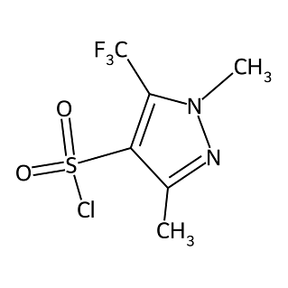 Cc1nn(C)c(C(F)(F)F)c1S(=O)(=O)Cl